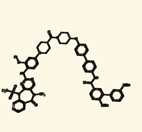 CCOc1cc(N2CCC(C(=O)N3CCC(Oc4ccc(-c5ccc(NC(=O)c6ccc(OC)c(-c7cccc(OC)c7)c6)cc5)cc4)CC3)CC2)ccc1Nc1ncc2c(n1)N(S(C)(=O)=O)c1ccccc1C(=O)N2C